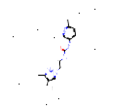 Cc1ccc(NC(=O)NCCn2cc(C(C)C)c(C)n2)cn1